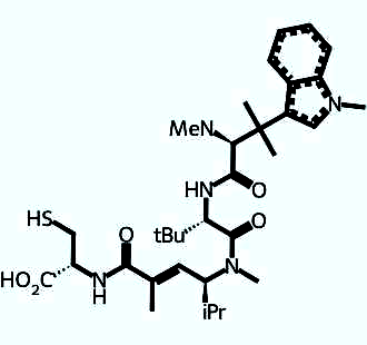 CN[C@H](C(=O)N[C@H](C(=O)N(C)[C@H](/C=C(\C)C(=O)N[C@@H](CS)C(=O)O)C(C)C)C(C)(C)C)C(C)(C)c1cn(C)c2ccccc12